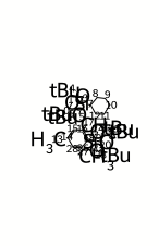 CC(C)(C)O[Si](OC(C)(C)C)(OC(C)(C)C)C1CCCCC1.Cc1cc(C)c([Si](OC(C)(C)C)(OC(C)(C)C)OC(C)(C)C)c(C)c1